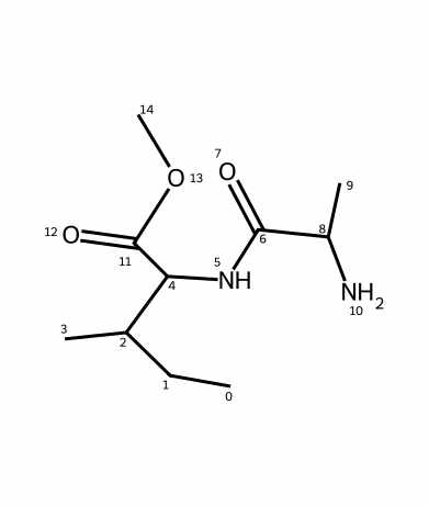 CCC(C)C(NC(=O)C(C)N)C(=O)OC